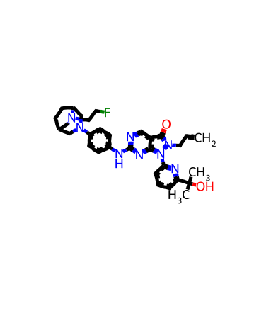 C=CCn1c(=O)c2cnc(Nc3ccc(N4CC5CCC(C4)N(CCF)C5)cc3)nc2n1-c1cccc(C(C)(C)O)n1